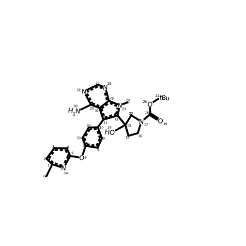 Cc1cccc(Oc2ccc(-c3c(C4(O)CCN(C(=O)OC(C)(C)C)C4)n(C)c4ncnc(N)c34)cc2)n1